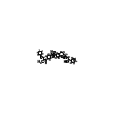 CC(COc1ccccc1)Nc1ccc(NS(=O)(=O)c2ccc3c(c2)CCC(CNCC(O)c2cccnc2)O3)cc1